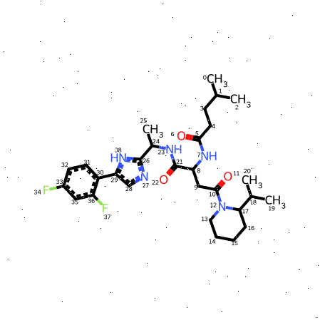 CC(C)CCC(=O)NC(CC(=O)N1CCCCC1C(C)C)C(=O)NC(C)c1ncc(-c2ccc(F)cc2F)[nH]1